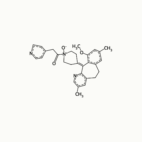 COc1cc(C)cc2c1C(=C1CC[N+]([O-])(C(=O)Cc3ccncc3)CC1)c1ncc(C)cc1CC2